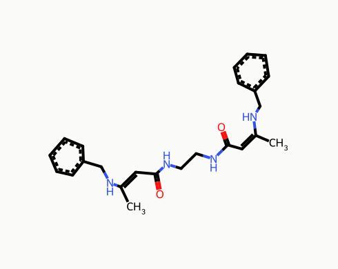 CC(=CC(=O)NCCNC(=O)C=C(C)NCc1ccccc1)NCc1ccccc1